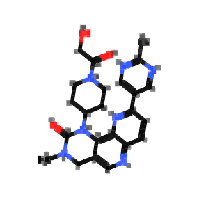 CN1Cc2cnc3ccc(-c4cnc(C#N)nc4)nc3c2N(C2CCN(C(=O)CO)CC2)C1=O